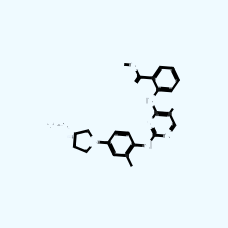 CCNC(=O)c1ccccc1Nc1nc(Nc2ccc(N3CC[C@H](NC)C3)cc2C)ncc1Cl